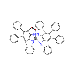 c1ccc(-c2c(-c3ccccc3)c3c4ccccc4n4c3c3c2c2ccccc2n3[Si]42n3c4ccccc4c4c(-c5ccccc5)c(-c5ccccc5)c5c6ccccc6n2c5c43)cc1